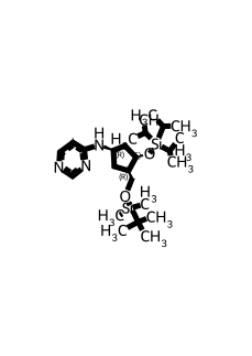 CC(C)[Si](O[C@H]1C[C@H](Nc2[c]cncn2)C[C@@H]1CO[Si](C)(C)C(C)(C)C)(C(C)C)C(C)C